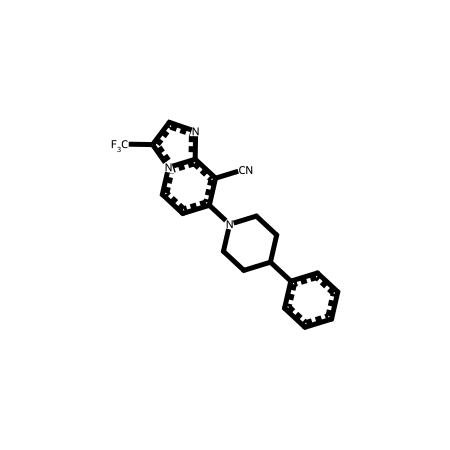 N#Cc1c(N2CCC(c3ccccc3)CC2)ccn2c(C(F)(F)F)cnc12